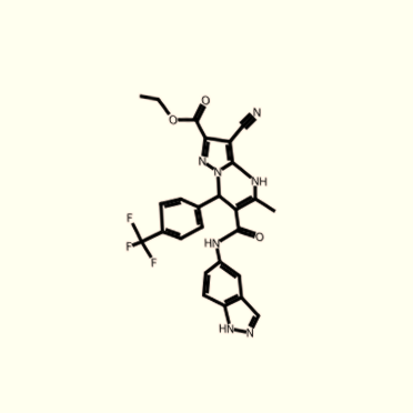 CCOC(=O)c1nn2c(c1C#N)NC(C)=C(C(=O)Nc1ccc3[nH]ncc3c1)C2c1ccc(C(F)(F)F)cc1